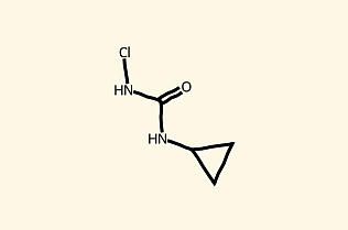 O=C(NCl)NC1CC1